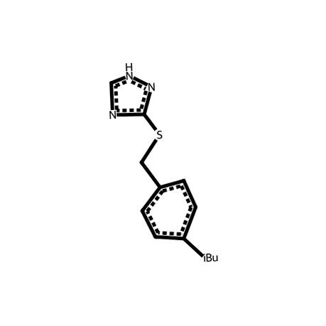 CCC(C)c1ccc(CSc2nc[nH]n2)cc1